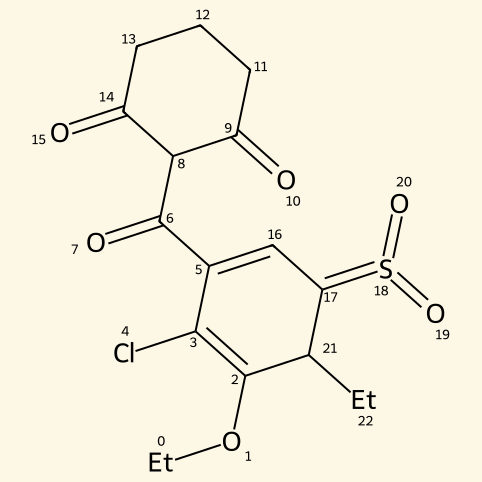 CCOC1=C(Cl)C(C(=O)C2C(=O)CCCC2=O)=CC(=S(=O)=O)C1CC